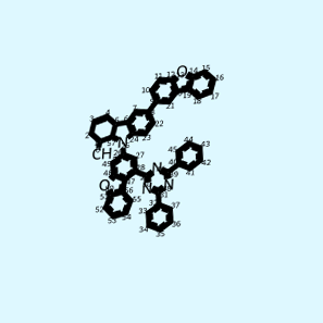 CC1CC=CC2c3cc(-c4ccc5oc6ccccc6c5c4)ccc3N(c3cc(-c4nc(-c5ccccc5)nc(-c5ccccc5)n4)c4c(c3)oc3ccccc34)C12